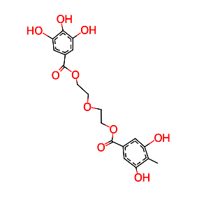 Cc1c(O)cc(C(=O)OCCOCCOC(=O)c2cc(O)c(O)c(O)c2)cc1O